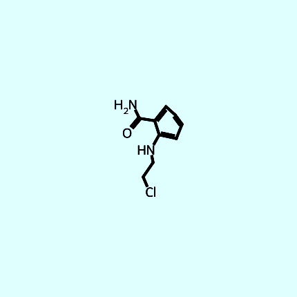 NC(=O)c1ccccc1NCCCl